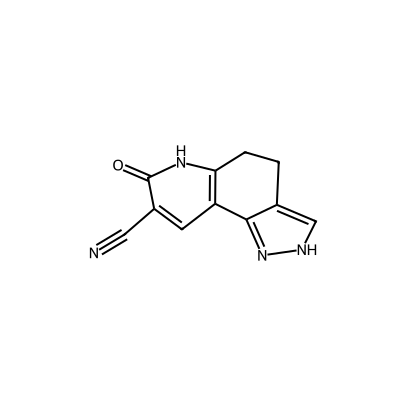 N#Cc1cc2c([nH]c1=O)CCc1c[nH]nc1-2